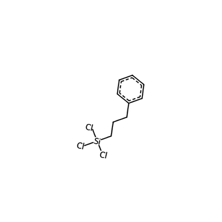 Cl[Si](Cl)(Cl)CCCc1ccccc1